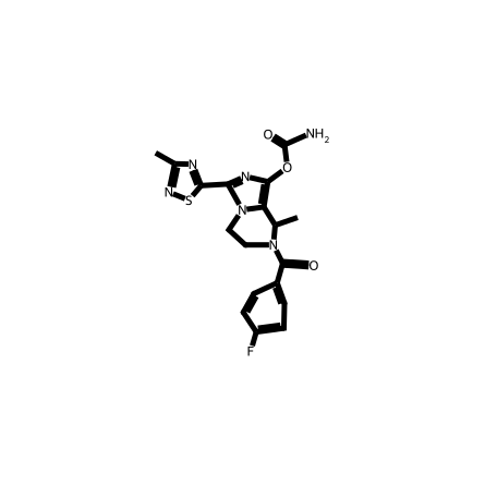 Cc1nsc(-c2nc(OC(N)=O)c3n2CCN(C(=O)c2ccc(F)cc2)C3C)n1